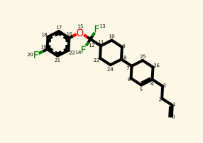 C=CCCC1=CCC(C2CCC(C(F)(F)Oc3ccc(F)cc3)CC2)CC1